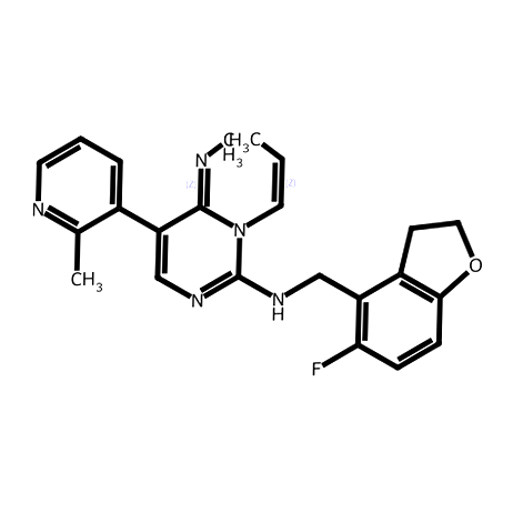 C/C=C\n1c(NCc2c(F)ccc3c2CCO3)ncc(-c2cccnc2C)/c1=N/C